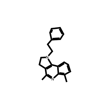 Cc1nc2c(C)cccc2c2c1CCN2CCc1ccccc1